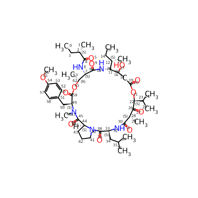 CC[C@H](C)C(=O)N[C@@H]1C(=O)N[C@H]([C@@H](C)CC)[C@@H](O)CC(=O)O[C@@H](C(C)C)C(=O)[C@H](C)C(=O)N[C@@H](CC(C)C)C(=O)N2CCC[C@H]2C(=O)N(C)[C@@H](Cc2ccc(OC)cc2)C(=O)O[C@@H]1C